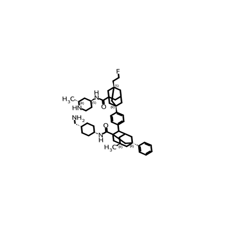 C[C@@H]1C[C@@H](NC(=O)C23CC4C[C@@](CCF)(C2)C[C@](c2ccc(C5C6C[C@@]7(C)CC5(C(=O)N[C@H]5CC[C@@H](CN)CC5)C[C@@](c5ccccc5)(C6)C7)cc2)(C4)C3)CCN1